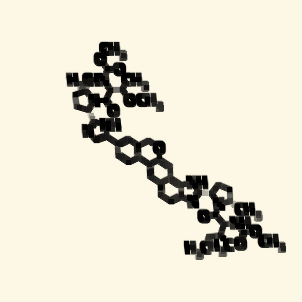 CC[C@H](C)C(NC(=O)OC)C(=O)N1[C@@H](C)CC[C@H]1c1nc2ccc3cc4c(cc3c2[nH]1)OCc1cc(-c2cnc([C@@H]3CC[C@H](C)N3C(=O)[C@@H](NC(=O)OC)C(C)OC)[nH]2)ccc1-4